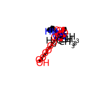 C[C@@H](C(=O)N[C@H](C(=O)N1C[C@@H](NC(=O)CCOCCOCCOCCOCCOCCC(=O)O)C[C@H]1C(=O)N[C@@H]1CCCc2ccccc21)C1CCCCC1)N(C)C(=O)OC(C)(C)C